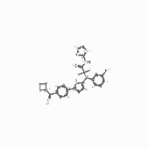 CC(C)(C(=O)Nc1nncs1)[C@@H](c1cccc(F)c1)c1ccc(-c2ccc(C(=O)N3CCC3)cc2)s1